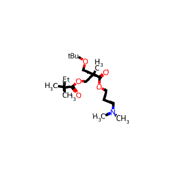 CCC(C)(C)C(=O)OCC(C)(COC(C)(C)C)C(=O)OCCCN(C)C